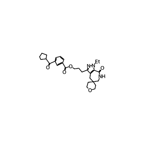 CCn1nc(CCCOC(=O)c2cccc(C(=O)C3CCCC3)c2)c2c1C(=O)NCC1(CCOCC1)C2